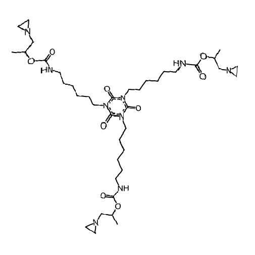 CC(CN1CC1)OC(=O)NCCCCCCn1c(=O)n(CCCCCCNC(=O)OC(C)CN2CC2)c(=O)n(CCCCCCNC(=O)OC(C)CN2CC2)c1=O